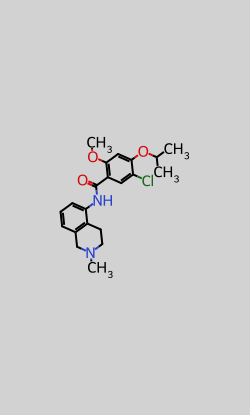 COc1cc(OC(C)C)c(Cl)cc1C(=O)Nc1cccc2c1CCN(C)C2